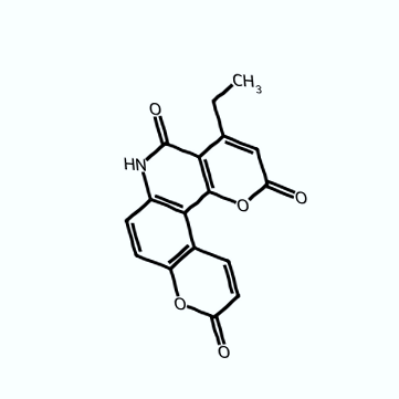 CCc1cc(=O)oc2c1c(=O)[nH]c1ccc3oc(=O)ccc3c12